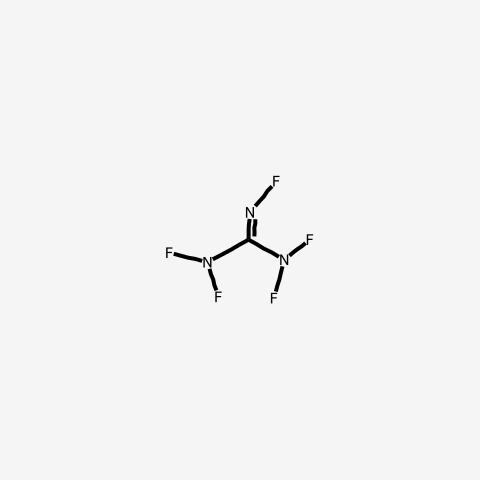 FN=C(N(F)F)N(F)F